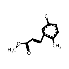 COC(=O)/C=C/c1cc(Cl)ccc1C